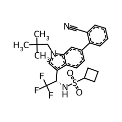 CC(C)(C)Cn1cc([C@H](NS(=O)(=O)C2CCC2)C(F)(F)F)c2ccc(-c3ccccc3C#N)cc21